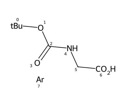 CC(C)(C)OC(=O)NCC(=O)O.[Ar]